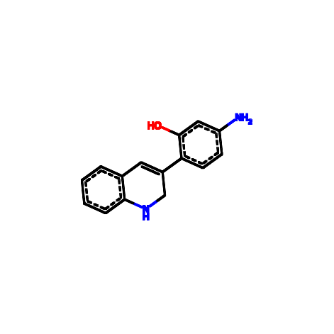 Nc1ccc(C2=Cc3ccccc3NC2)c(O)c1